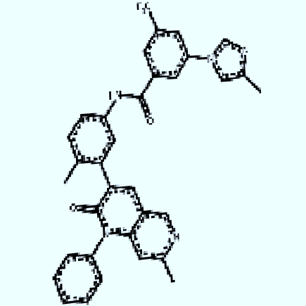 Cc1cc2c(cn1)cc(-c1cc(NC(=O)c3cc(-n4cnc(C)c4)cc(C(F)(F)F)c3)ccc1C)c(=O)n2-c1ccccc1